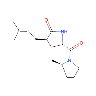 CC(C)=CC[C@@H]1C[C@@H](C(=O)N2CCC[C@H]2C)NC1=O